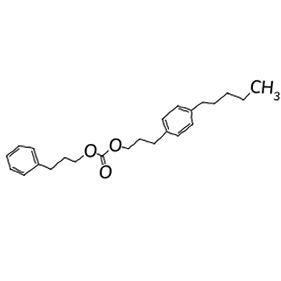 CCCCCc1ccc(CCCOC(=O)OCCCc2ccccc2)cc1